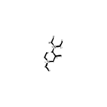 CCN(CC)CC(C)CN(CC)CC